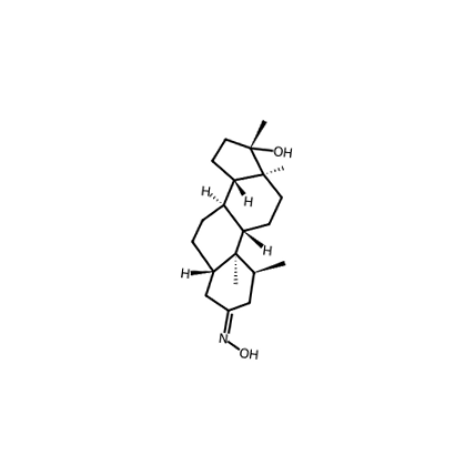 C[C@H]1C/C(=N\O)C[C@@H]2CC[C@@H]3[C@H](CC[C@@]4(C)[C@H]3CC[C@]4(C)O)[C@]21C